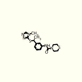 C[C@H](Sc1nncn1C)c1cccc(NC(=O)N2CCSCC2)c1